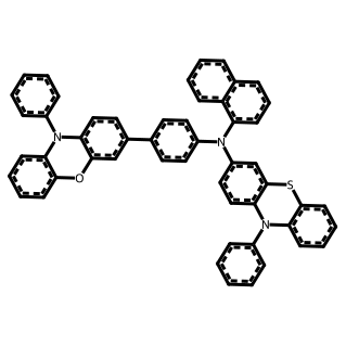 c1ccc(N2c3ccccc3Oc3cc(-c4ccc(N(c5ccc6c(c5)Sc5ccccc5N6c5ccccc5)c5cccc6ccccc56)cc4)ccc32)cc1